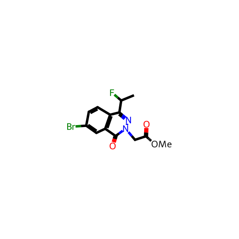 COC(=O)Cn1nc(C(C)F)c2ccc(Br)cc2c1=O